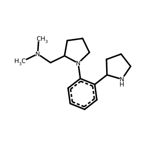 CN(C)CC1CCCN1c1ccccc1C1CCCN1